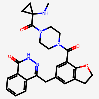 CNC1(C(=O)N2CCN(C(=O)c3cc(Cc4n[nH]c(=O)c5ccccc45)cc4c3OCC4)CC2)CC1